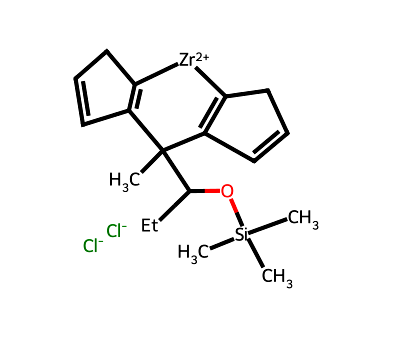 CCC(O[Si](C)(C)C)C1(C)C2=[C](CC=C2)[Zr+2][C]2=C1C=CC2.[Cl-].[Cl-]